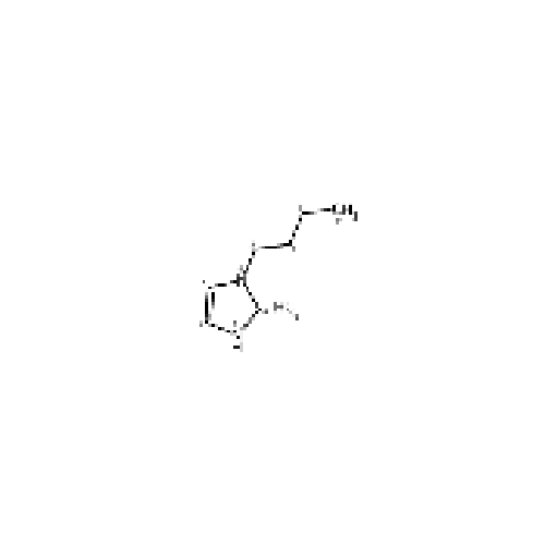 CCCCN1C=CNC1.Cl